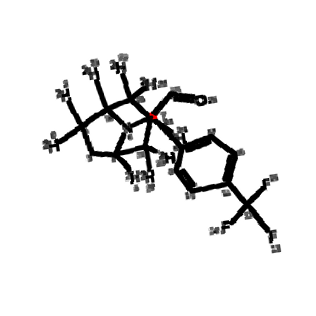 [2H]C1([2H])CC2([2H])N(Cc3ccc(C(F)(F)F)cc3)C1([2H])C([2H])([2H])C([2H])(C=O)C2([2H])[2H]